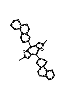 Cc1cc2c(-c3ccc4c(ccc5ccccc54)c3)c3sc(C)cc3c(-c3ccc4c(ccc5ccccc54)c3)c2s1